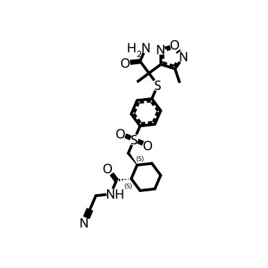 Cc1nonc1C(C)(Sc1ccc(S(=O)(=O)C[C@H]2CCCC[C@@H]2C(=O)NCC#N)cc1)C(N)=O